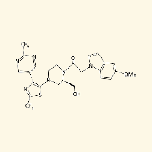 COc1ccc2c(ccn2CC(=O)N2CCN(c3sc(C(F)(F)F)nc3-c3cnc(C(F)(F)F)nc3)C[C@@H]2CO)c1